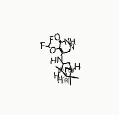 C[C@H]1C(Nc2cn[nH]c(=O)c2OC(F)F)C[C@@H]2C[C@H]1C2(C)C